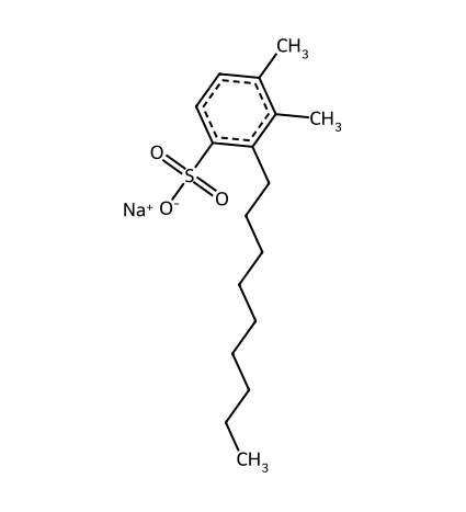 CCCCCCCCCc1c(S(=O)(=O)[O-])ccc(C)c1C.[Na+]